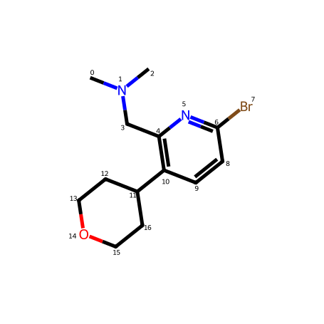 CN(C)Cc1nc(Br)ccc1C1CCOCC1